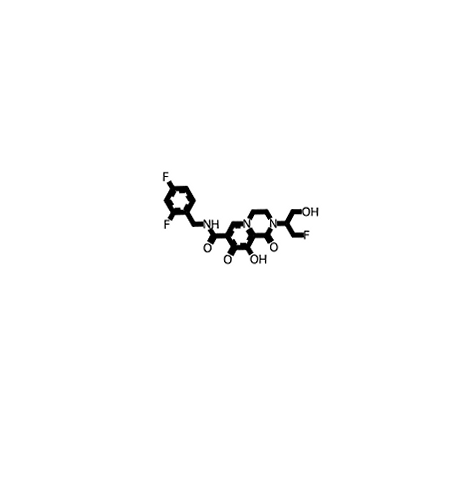 O=C(NCc1ccc(F)cc1F)c1cn2c(c(O)c1=O)C(=O)N(C(CO)CF)CC2